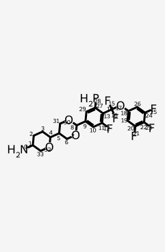 NC1CCC(C2COC(c3cc(F)c(C(F)(F)Oc4cc(F)c(F)c(F)c4)c(P)c3)OC2)OC1